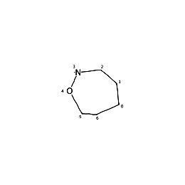 C1CC[N]OCC1